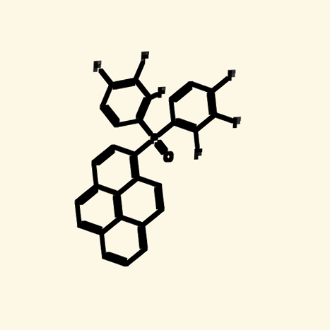 O=P(c1ccc(F)c(F)c1F)(c1ccc(F)c(F)c1F)c1ccc2ccc3cccc4ccc1c2c34